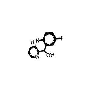 Nc1ccc(F)cc1C(O)c1ccccn1